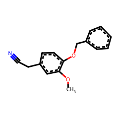 COc1cc(CC#N)ccc1OCc1ccccc1